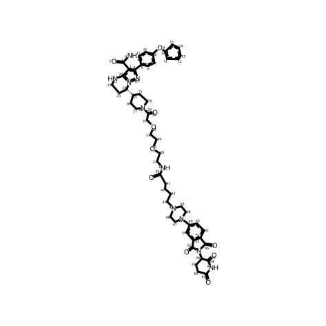 NC(=O)c1c(-c2ccc(Oc3ccccc3)cc2)nn2c1NCC[C@H]2C1CCN(C(=O)COCCOCCNC(=O)CCCCN2CCN(c3ccc4c(c3)C(=O)N(C3CCC(=O)NC3=O)C4=O)CC2)CC1